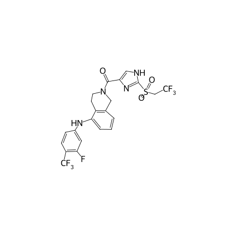 O=C(c1c[nH]c(S(=O)(=O)CC(F)(F)F)n1)N1CCc2c(cccc2Nc2ccc(C(F)(F)F)c(F)c2)C1